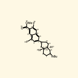 CCCCC1CC[C@@H]2CC(c3cc(F)c4cc(C(=O)OC)c(F)cc4c3)CC[C@H]2C1